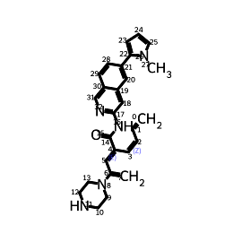 C=C/C=C\C(=C/C(=C)N1CCNCC1)C(=O)Nc1cc2cc(-c3cccn3C)ccc2cn1